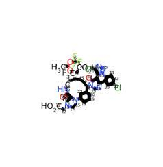 CC(=O)OC(F)(F)F.O=C(O)CC(F)(F)F.O=C(O)CN1CCN2c3cccc(c3)[C@@H](n3cnc(-c4cc(Cl)ccc4-n4cc(Cl)nn4)cc3=O)CCCCCNC(=O)[C@H]2C1